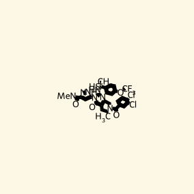 CNC(=O)c1cc(-n2c(N[Si@@H](C)c3ccc(OC(F)(F)F)cc3)nc3c(c2=O)C[C@@H](C)N(C(=O)c2ccc(Cl)c(Cl)c2)C3)[nH]n1